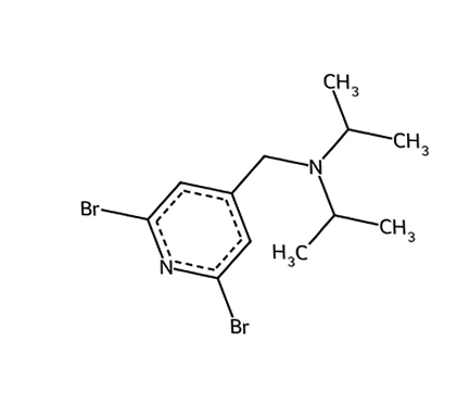 CC(C)N(Cc1cc(Br)nc(Br)c1)C(C)C